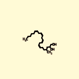 CCCCC/C=C\C/C=C\C/C=C\C/C=C\CCC(C)[CH]C(O)CO